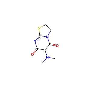 CN(C)C1C(=O)N=C2SCCN2C1=O